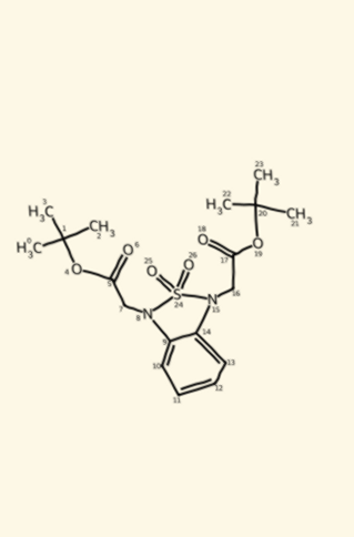 CC(C)(C)OC(=O)CN1c2ccccc2N(CC(=O)OC(C)(C)C)S1(=O)=O